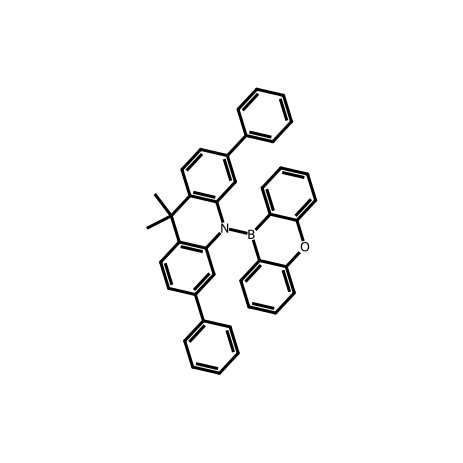 CC1(C)c2ccc(-c3ccccc3)cc2N(B2c3ccccc3Oc3ccccc32)c2cc(-c3ccccc3)ccc21